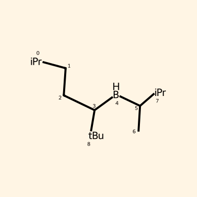 CC(C)CCC(BC(C)C(C)C)C(C)(C)C